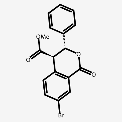 COC(=O)[C@@H]1c2ccc(Br)cc2C(=O)O[C@H]1c1ccccc1